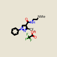 CNCCNC(=O)c1cn(-c2ccccc2)nc1C(F)(F)F.O=C(O)C(F)(F)F